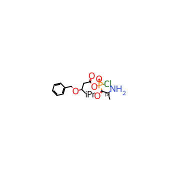 CC(C)C(CC(=O)OP(=O)(Cl)C(=O)[C@H](C)N)OCc1ccccc1